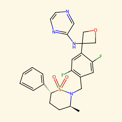 C[C@H]1CC[C@H](c2ccccc2)S(=O)(=O)N1Cc1cc(F)c(C2(Nc3cnccn3)COC2)cc1F